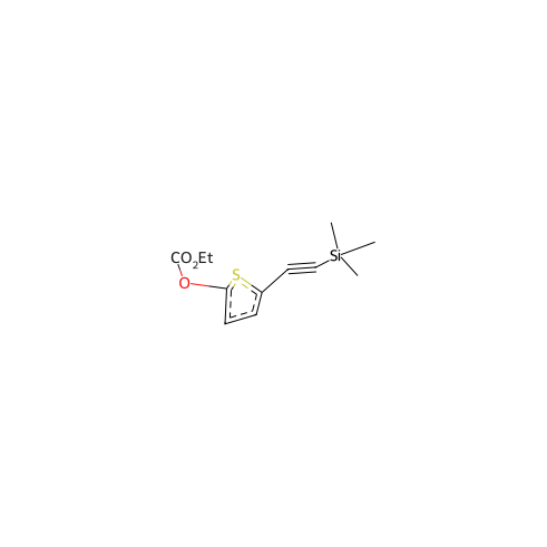 CCOC(=O)Oc1ccc(C#C[Si](C)(C)C)s1